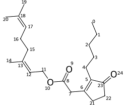 CCCCCC1=C(CC(=O)OCC=C(C)CCC=C(C)C)CCC1=O